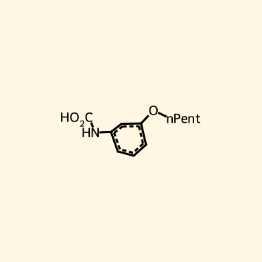 CCCCCOc1cccc(NC(=O)O)c1